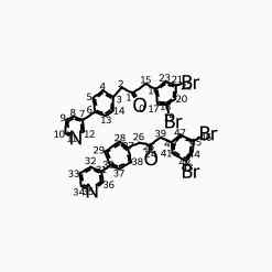 O=C(Cc1ccc(-c2cccnc2)cc1)Cc1cc(Br)cc(Br)c1.O=C(Cc1ccc(-c2cccnc2)cc1)Cc1cc(Br)cc(Br)c1